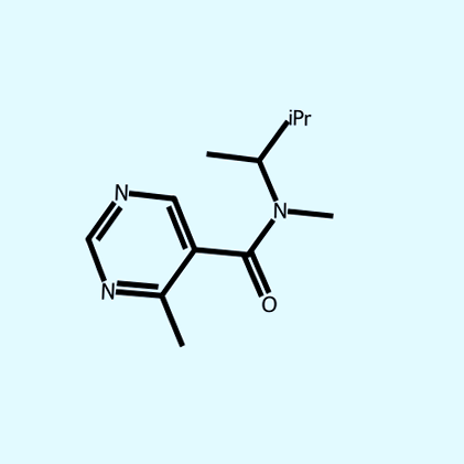 Cc1ncncc1C(=O)N(C)C(C)C(C)C